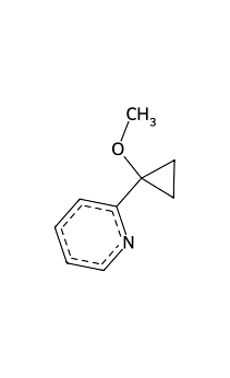 COC1(c2ccccn2)CC1